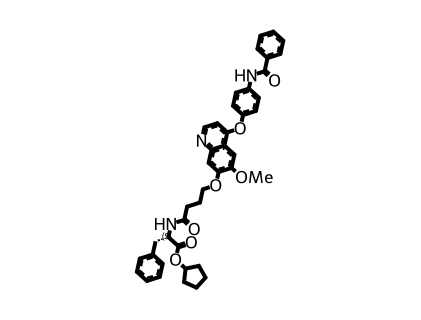 COc1cc2c(Oc3ccc(NC(=O)c4ccccc4)cc3)ccnc2cc1OCCCC(=O)N[C@@H](Cc1ccccc1)C(=O)OC1CCCC1